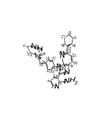 Nc1ncccc1-c1nc2ccc(C3=CCCCC3)nc2n1-c1ccc(CN2CCNCC2)cc1